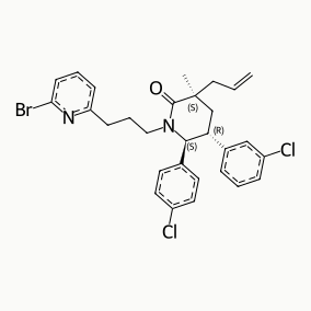 C=CC[C@@]1(C)C[C@H](c2cccc(Cl)c2)[C@@H](c2ccc(Cl)cc2)N(CCCc2cccc(Br)n2)C1=O